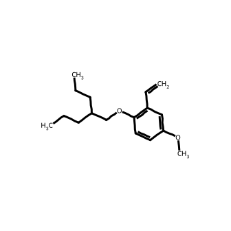 C=Cc1cc(OC)ccc1OCC(CCC)CCC